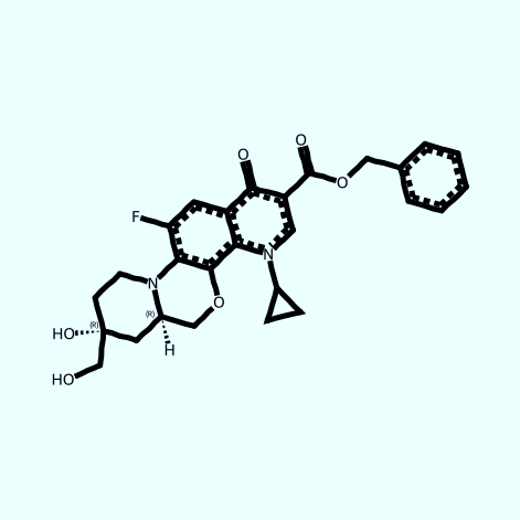 O=C(OCc1ccccc1)c1cn(C2CC2)c2c3c(c(F)cc2c1=O)N1CC[C@](O)(CO)C[C@@H]1CO3